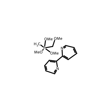 COCP(C)(OC)(OC)OC.c1ccc(-c2ccccn2)nc1